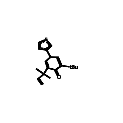 C=CC(C)(C)C1=CC(c2ccsc2)C=C(C(C)(C)C)C1=O